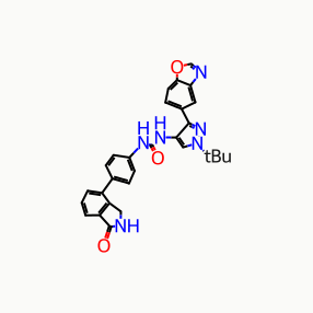 CC(C)(C)n1cc(NC(=O)Nc2ccc(-c3cccc4c3CNC4=O)cc2)c(-c2ccc3ocnc3c2)n1